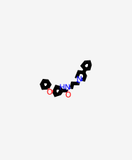 O=C(NCCCN1CCC(C2CCCCC2)CC1)c1ccc(Oc2ccccc2)cc1